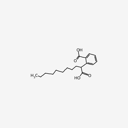 CCCCCCCCCC(C(=O)O)c1ccccc1C(=O)O